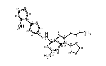 NCCCc1nc2c(NCc3ccc(-c4ccccc4O)cc3)nc(N)nc2n1C1CCCC1